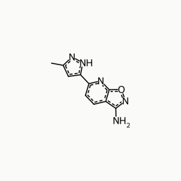 Cc1cc(-c2ccc3c(N)noc3n2)[nH]n1